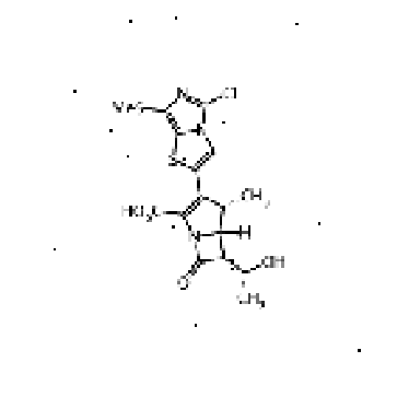 CSc1nc(Cl)n2cc(C3=C(C(=O)O)N4C(=O)[C@H]([C@@H](C)O)[C@H]4[C@H]3C)sc12